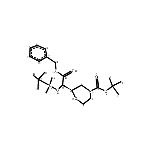 CC(C)(C)OC(=O)N1CCO[C@@H](C(O[Si](C)(C)C(C)(C)C)C(=O)OCc2ccccc2)C1